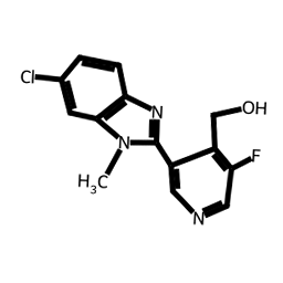 Cn1c(-c2cncc(F)c2CO)nc2ccc(Cl)cc21